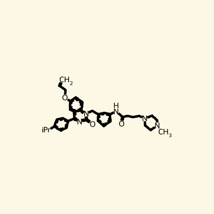 C=CCOc1ccc2c(c1)c(-c1ccc(C(C)C)cc1)nc(=O)n2Cc1cccc(NC(=O)CCCN2CCN(C)CC2)c1